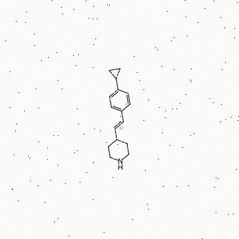 C(=C\C1CCNCC1)/c1ccc(C2CC2)cc1